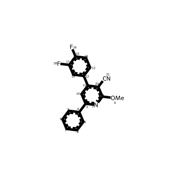 COc1nc(-c2ccccc2)cc(-c2ccc(F)c(F)c2)c1C#N